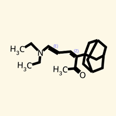 CCN(/C=C/C=C(\C(C)=O)C12CC3CC(CC(C3)C1)C2)CC